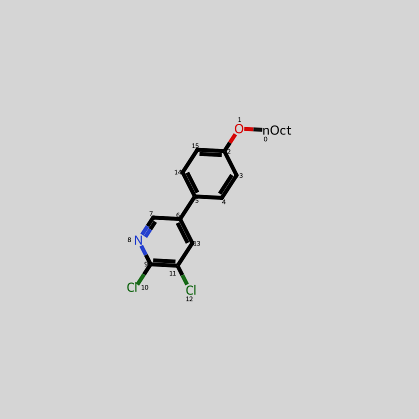 CCCCCCCCOc1ccc(-c2cnc(Cl)c(Cl)c2)cc1